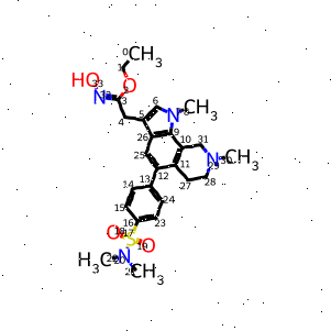 CCOC(Cc1cn(C)c2c3c(c(-c4ccc(S(=O)(=O)N(C)C)cc4)cc12)CCN(C)C3)=NO